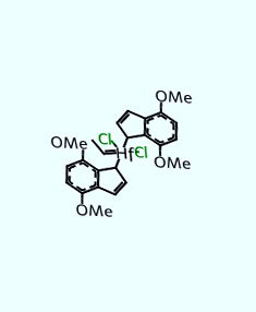 C[CH]=[Hf]([Cl])([Cl])([CH]1C=Cc2c(OC)ccc(OC)c21)[CH]1C=Cc2c(OC)ccc(OC)c21